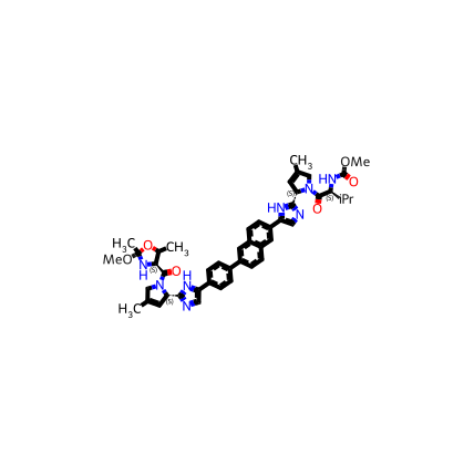 COC(=O)N[C@H](C(=O)N1CC(C)=C[C@H]1c1ncc(-c2ccc3cc(-c4ccc(-c5cnc([C@@H]6C=C(C)CN6C(=O)[C@H]6NC(C)(OC)OC6C)[nH]5)cc4)ccc3c2)[nH]1)C(C)C